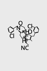 CC1=C(Cc2cccc(Cl)c2)C(=O)[C@H]2[C@@H](CCC3=CN(Cc4cccc(Cl)c4)C(=O)CC[C@@]32C)[C@@H]1CCC#N